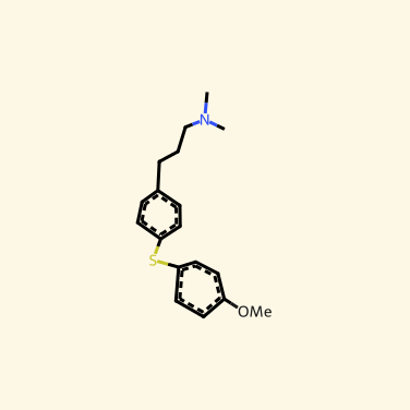 COc1ccc(Sc2ccc(CCCN(C)C)cc2)cc1